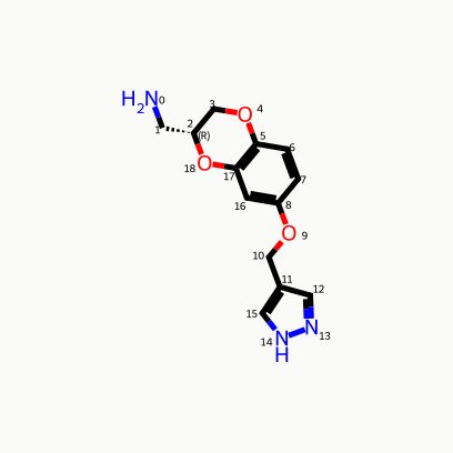 NC[C@@H]1COc2ccc(OCc3cn[nH]c3)cc2O1